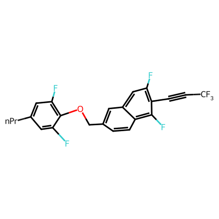 CCCc1cc(F)c(OCc2ccc3c(F)c(C#CC(F)(F)F)c(F)cc3c2)c(F)c1